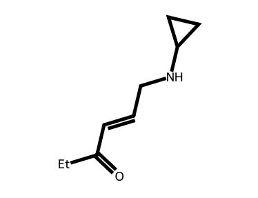 CCC(=O)/C=C/CNC1CC1